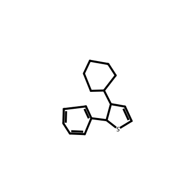 C1=CC(C2CCCCC2)C(c2ccccc2)S1